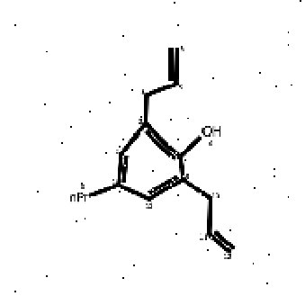 [CH2]CCc1cc(CC=C)c(O)c(CC=C)c1